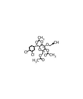 C#CCO[C@H]1[C@@H](OC(C)=O)[C@@H](COC(C)=O)OC(Sc2ccc(Cl)c(Cl)c2)[C@@H]1OC(C)=O